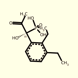 CCc1cccc([C@@](O)(C(C)=O)P(=O)(O)O)c1CC